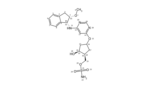 CO[C@H]1Cc2ccccc2[C@H]1Nc1cc(OC2C[C@@H](COS(N)(=O)=O)[C@@H](O)C2)ncn1